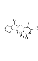 CC1C(CN2C(=O)c3ccccc3C2=O)=C(I)C(C2CC2)=NC1Cl